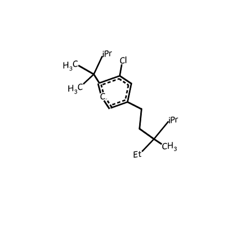 CCC(C)(CCc1ccc(C(C)(C)C(C)C)c(Cl)c1)C(C)C